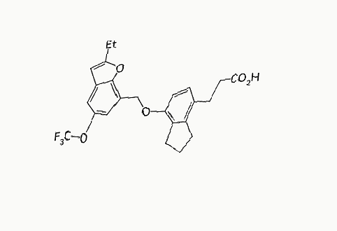 CCc1cc2cc(OC(F)(F)F)cc(COc3ccc(CCC(=O)O)c4c3CCC4)c2o1